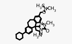 CN(C)OCc1ccc2c(c1)CCc1cc(C3CCCCC3)ccc1C2(CCN)c1nn(C)c(=O)[nH]1